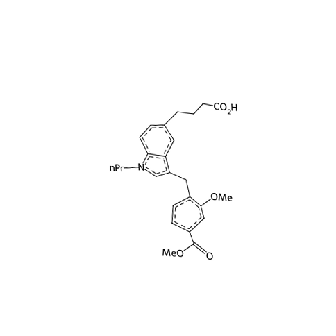 CCCn1cc(Cc2ccc(C(=O)OC)cc2OC)c2cc(CCCC(=O)O)ccc21